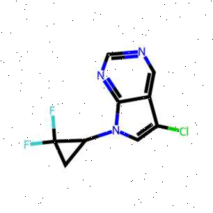 FC1(F)CC1n1cc(Cl)c2cncnc21